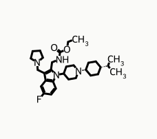 CCOC(=O)NCc1c(CN2CCCC2)c2cc(F)ccc2n1C1CCN([C@H]2CC[C@@H](C(C)C)CC2)CC1